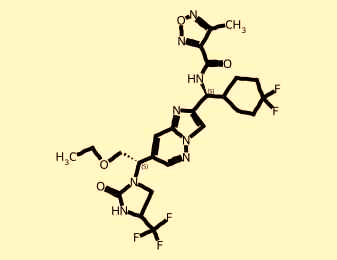 CCOC[C@H](c1cnn2cc([C@@H](NC(=O)c3nonc3C)C3CCC(F)(F)CC3)nc2c1)N1CC(C(F)(F)F)NC1=O